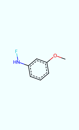 COc1cccc(NF)c1